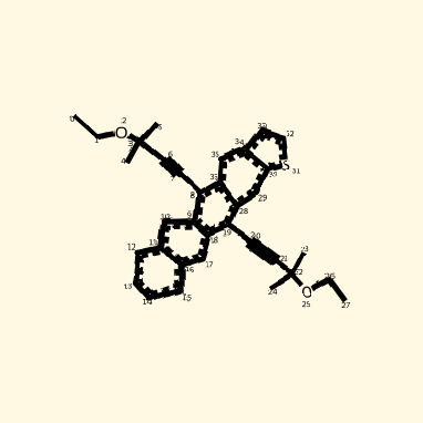 CCOC(C)(C)C#Cc1c2cc3ccccc3cc2c(C#CC(C)(C)OCC)c2cc3sccc3cc12